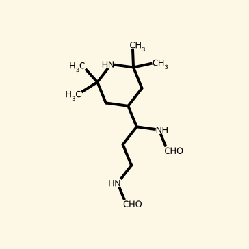 CC1(C)CC(C(CCNC=O)NC=O)CC(C)(C)N1